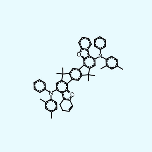 Cc1ccc(N(c2ccccc2)c2cc3c(c4oc5c(c24)CCC=C5)-c2cc4c(cc2C3(C)C)-c2c(cc(N(c3ccccc3)c3ccc(C)cc3C)c3c2oc2ccccc23)C4(C)C)c(C)c1